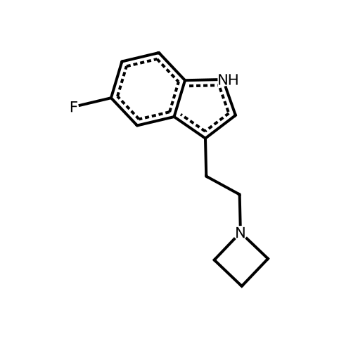 Fc1ccc2[nH]cc(CCN3CCC3)c2c1